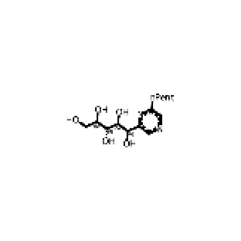 CCCCCc1cncc([C@@H](O)[C@H](O)[C@H](O)[C@H](O)CO)n1